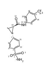 NS(=O)(=O)c1ccc([C@@H]2C[C@H]2C(=O)Nc2ccc(C(F)(F)F)cn2)cc1